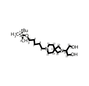 CC(C)(C)[Si](C)(C)OCCCCCN1CCC2(CC1)CN(C(CO)CO)C2